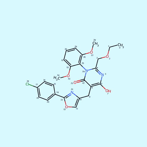 CCOCc1nc(O)c(Cc2coc(-c3ccc(Cl)cc3)n2)c(=O)n1-c1c(OC)cccc1OC